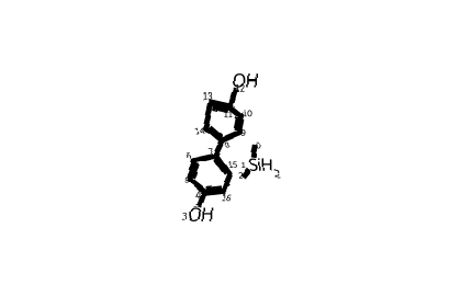 C[SiH2]C.Oc1ccc(-c2ccc(O)cc2)cc1